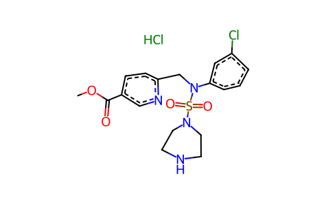 COC(=O)c1ccc(CN(c2cccc(Cl)c2)S(=O)(=O)N2CCNCC2)nc1.Cl